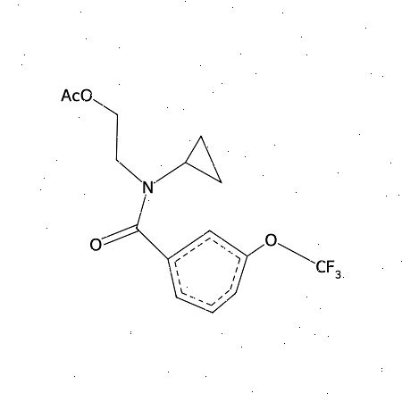 CC(=O)OCCN(C(=O)c1cccc(OC(F)(F)F)c1)C1CC1